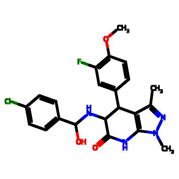 COc1ccc(C2c3c(C)nn(C)c3NC(=O)C2NC(O)c2ccc(Cl)cc2)cc1F